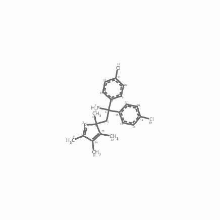 CC1=PC(C)(CC(P)(c2ccc(Cl)cc2)c2ccc(Cl)cc2)C(C)=C1C